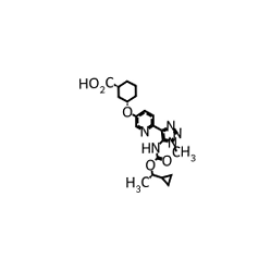 C[C@@H](OC(=O)Nc1c(-c2ccc(O[C@H]3CCC[C@H](C(=O)O)C3)cn2)nnn1C)C1CC1